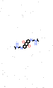 CC(C)NC=CN=C1C=C2C(=O)C3=CCC(=NC=CNC(C)C)C=C3C(=O)C2=CC1